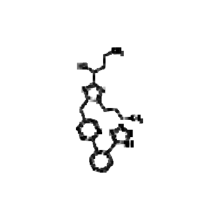 CCCCn1nc(C(O)CCC)nc1Cc1ccc(-c2ccccc2-c2nnn[nH]2)nc1